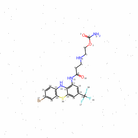 NC(=O)OCCNCCC(=O)Nc1cc(C(F)(F)F)cc2c1Nc1ccc(Br)cc1S2